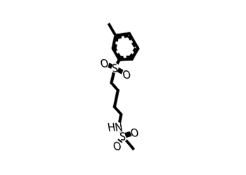 Cc1cccc(S(=O)(=O)CCCCNS(C)(=O)=O)c1